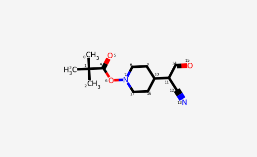 CC(C)(C)C(=O)ON1CCC(C(C#N)C=O)CC1